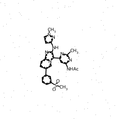 CC(=O)Nc1cc(-c2c(Nc3ccn(C)n3)nc3ccc(-c4cccc(S(C)(=O)=O)c4)cn23)nc(C)n1